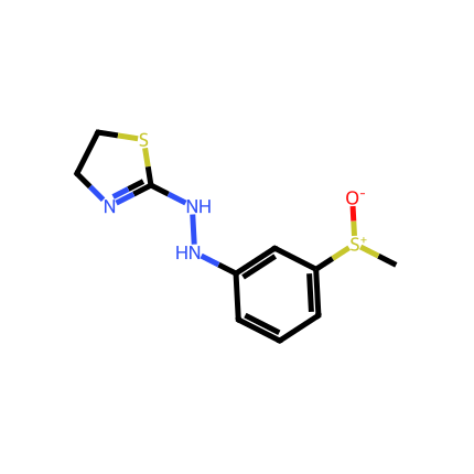 C[S+]([O-])c1cccc(NNC2=NCCS2)c1